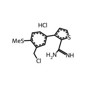 CSc1ccc(-c2ccsc2C(=N)N)cc1CCl.Cl